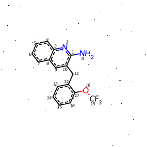 Nc1nc2ccccc2cc1Cc1ccccc1OC(F)(F)F